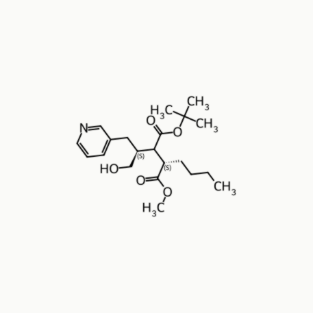 CCCC[C@H](C(=O)OC)C(C(=O)OC(C)(C)C)[C@@H](CO)Cc1cccnc1